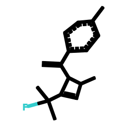 C=C(c1ccc(C)cc1)C1C(C(C)(C)F)=CC1C